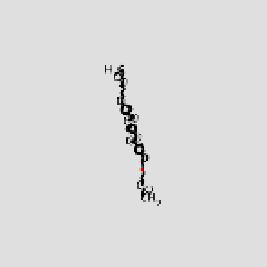 C=CC(=O)OCCCCCCOc1ccc(C(=O)Oc2ccc(OC(=O)c3ccc(OCCCCOC(=O)C=C)cc3)cc2)cc1